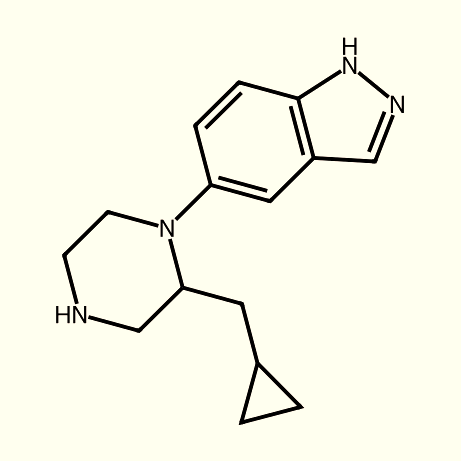 c1cc2[nH]ncc2cc1N1CCNCC1CC1CC1